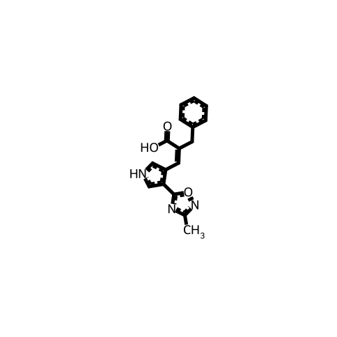 Cc1noc(-c2c[nH]cc2/C=C(/Cc2ccccc2)C(=O)O)n1